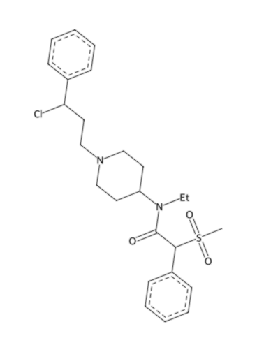 CCN(C(=O)C(c1ccccc1)S(C)(=O)=O)C1CCN(CCC(Cl)c2ccccc2)CC1